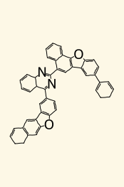 C1=CC2N=C(c3cc4c5cc(C6=CCCC=C6)ccc5oc4c4ccccc34)N=C(c3ccc4oc5cc6c(cc5c4c3)C=CCC6)C2C=C1